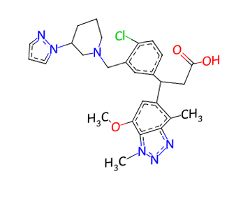 COc1cc(C(CC(=O)O)c2ccc(Cl)c(CN3CCCC(n4cccn4)C3)c2)c(C)c2nnn(C)c12